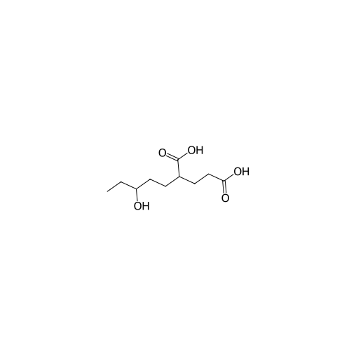 CCC(O)CCC(CCC(=O)O)C(=O)O